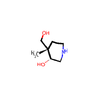 C[C@@]1(CO)CCNC[C@@H]1O